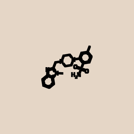 Cc1ccc(S(N)(=O)=O)c(N2CCN(Cc3nc4ccccc4n3C)CC2)c1